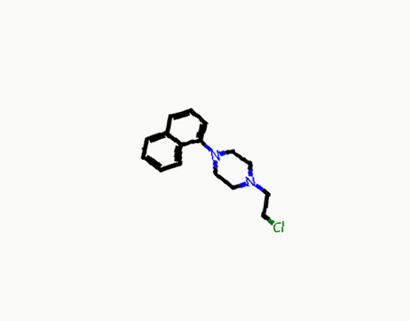 ClCCN1CCN(c2cccc3ccccc23)CC1